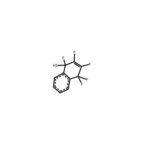 FC1=C(F)C(F)(S)c2ccccc2C1(F)F